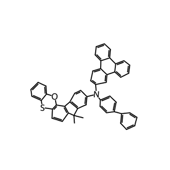 CC1(C)c2cc(N(c3ccc(-c4ccccc4)cc3)c3ccc4c5ccccc5c5ccccc5c4c3)ccc2-c2c1ccc1c2Oc2ccccc2S1